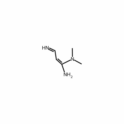 CN(C)/C(N)=C\C=N